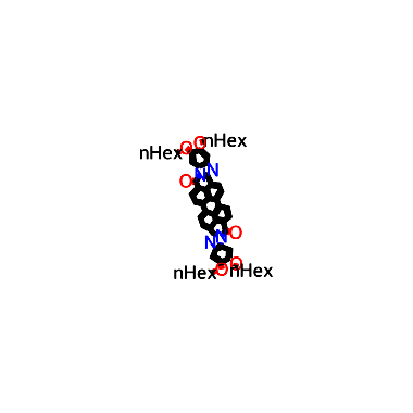 CCCCCCOC1=CC2N=c3c4ccc5c6ccc7c(=O)n8c9cc(OCCCCCC)c(OCCCCCC)cc9nc8c8ccc(c9ccc(c(=O)n3C2C=C1OCCCCCC)c4c59)c6c78